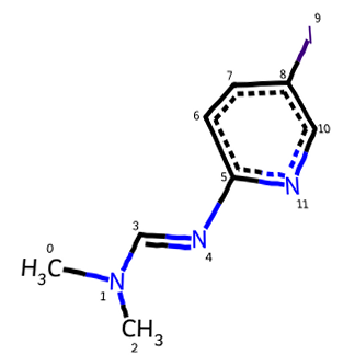 CN(C)/C=N/c1ccc(I)cn1